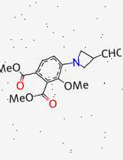 COC(=O)c1ccc(N2CC(C=O)C2)c(OC)c1C(=O)OC